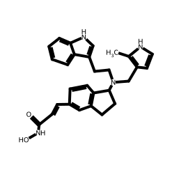 Cc1[nH]ccc1CN(CCc1c[nH]c2ccccc12)C1CCc2cc(C=CC(=O)NO)ccc21